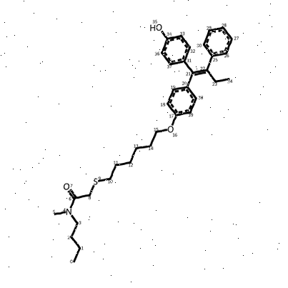 CCCCN(C)C(=O)CSCCCCCCOc1ccc(/C(=C(\CC)c2ccccc2)c2ccc(O)cc2)cc1